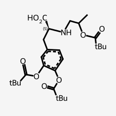 CC(CN[C@@H](Cc1ccc(OC(=O)C(C)(C)C)c(OC(=O)C(C)(C)C)c1)C(=O)O)OC(=O)C(C)(C)C